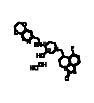 Cl.Cl.O=c1sc2ccc(F)c3c2n1CCC3CN1CC[C@H](NCc2cc3c(cn2)OCCO3)[C@H](O)C1